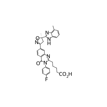 Cc1cccc2[nH]c([C@@]3(C)CC(c4ccc5c(=O)n(-c6ccc(F)cc6)c(CCCCC(=O)O)nc5c4)=NO3)nc12